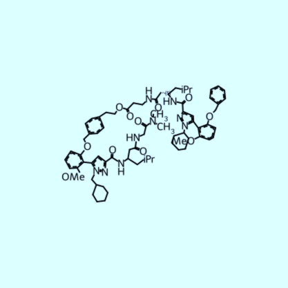 COc1cccc(OCc2ccc(CCOC(=O)CCNC(=O)C[C@H](CC(C)C)NC(=O)c3cc(-c4c(OC)cccc4OCc4ccccc4)n(C4CCCCC4)n3)cc2)c1-c1cc(C(=O)NC(CC(=O)NCC(=O)N(C)C)CC(C)C)nn1CC1CCCCC1